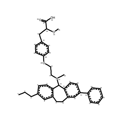 CCCc1ccc2c(c1)CCc1cc(-c3ccccc3)ccc1C2N(C)CCOc1ccc(CC(OC)C(=O)O)cc1